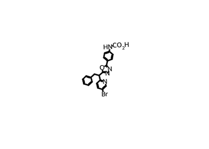 O=C(O)Nc1ccc(-c2nnc(C(Cc3ccccc3)c3ccc(Br)cn3)o2)cc1